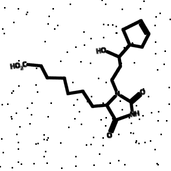 O=C(O)CCCCCCC1C(=O)NC(=O)N1CCC(O)C1CC=CC1